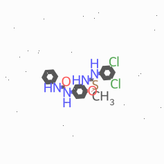 COc1ccc(NC(=O)Nc2ccccc2)cc1NC(=S)Nc1cc(Cl)cc(Cl)c1